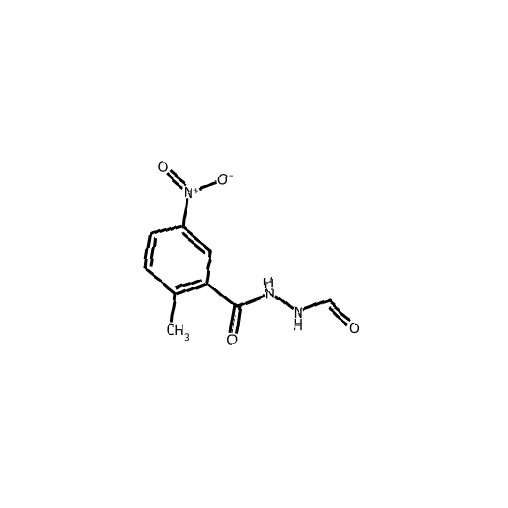 Cc1ccc([N+](=O)[O-])cc1C(=O)NNC=O